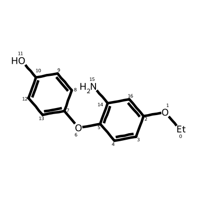 CCOc1ccc(Oc2ccc(O)cc2)c(N)c1